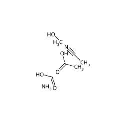 CC#N.CC(=O)O.CO.N.O=CO